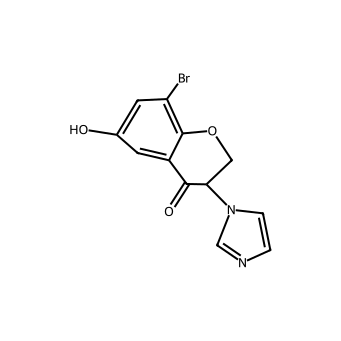 O=C1c2cc(O)cc(Br)c2OCC1n1ccnc1